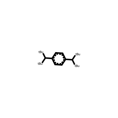 CC(C)(C)[C](c1ccc([C](C(C)(C)C)C(C)(C)C)cc1)C(C)(C)C